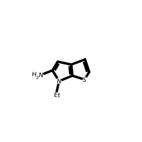 CCn1c(N)cc2ccsc21